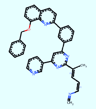 C=N/C=C\C=C(/C)c1nc(-c2cccnc2)cc(-c2cccc(-c3ccc4cccc(OCc5ccccc5)c4n3)c2)n1